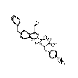 COC(=O)C(Cc1ccc(O)cc1)NC(=O)c1cc(C=O)c2cc(Cc3ccccc3)ccc2n1